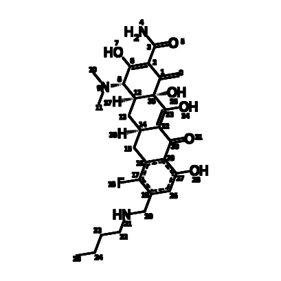 C=C1C(C(N)=O)=C(O)[C@@H](N(C)C)[C@@H]2C[C@@H]3Cc4c(F)c(CNCCCC)cc(O)c4C(=O)C3=C(O)[C@]12O